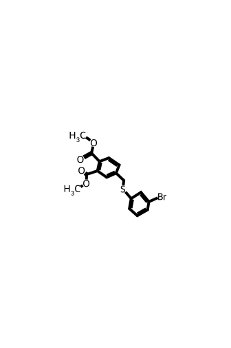 COC(=O)c1ccc(CSc2cccc(Br)c2)cc1C(=O)OC